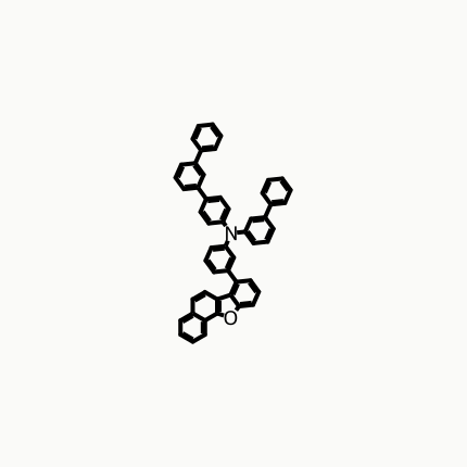 c1ccc(-c2cccc(-c3ccc(N(c4cccc(-c5ccccc5)c4)c4cccc(-c5cccc6oc7c8ccccc8ccc7c56)c4)cc3)c2)cc1